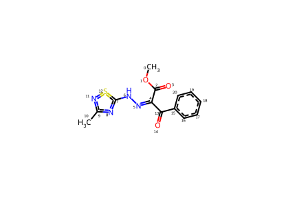 COC(=O)/C(=N\Nc1nc(C)ns1)C(=O)c1ccccc1